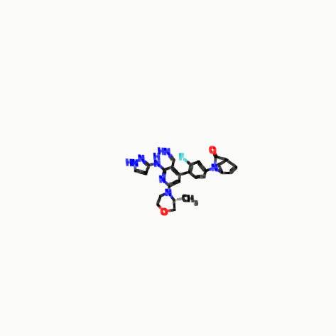 C[C@@H]1COCCN1c1cc(-c2ccc(N3C(=O)C4C=CC3C4)cc2F)c(C=N)c(Nc2cc[nH]n2)n1